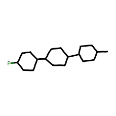 CC1CCC(C2CCC(C3CCC(F)CC3)CC2)CC1